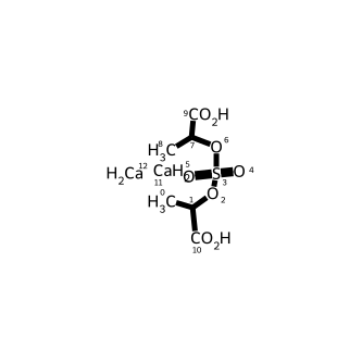 CC(OS(=O)(=O)OC(C)C(=O)O)C(=O)O.[CaH2].[CaH2]